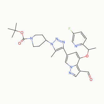 Cc1c(-c2cc(OC(C)c3ccc(F)cn3)c3c(C=O)cnn3c2)nnn1C1CCN(C(=O)OC(C)(C)C)CC1